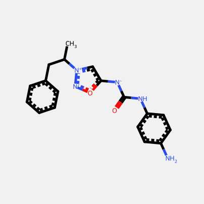 CC(Cc1ccccc1)[n+]1cc([N-]C(=O)Nc2ccc(N)cc2)on1